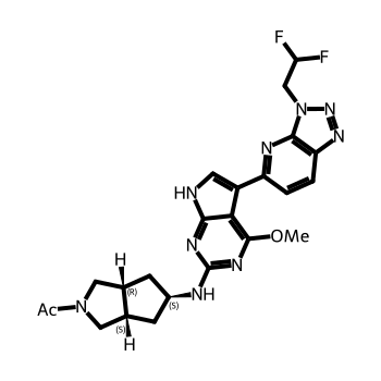 COc1nc(N[C@H]2C[C@@H]3CN(C(C)=O)C[C@@H]3C2)nc2[nH]cc(-c3ccc4nnn(CC(F)F)c4n3)c12